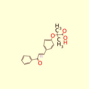 CC(C)(Oc1ccc(/C=C/C(=O)c2ccccc2)cc1)C(=O)O